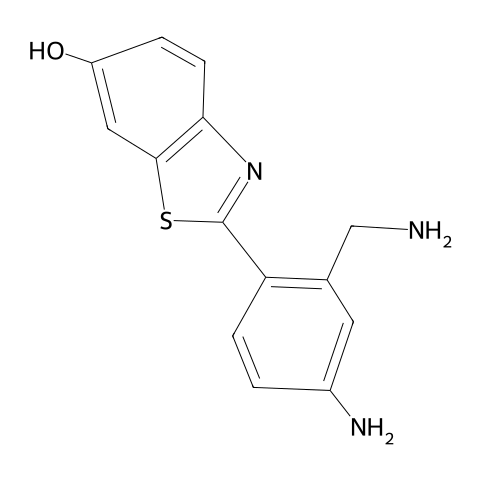 NCc1cc(N)ccc1-c1nc2ccc(O)cc2s1